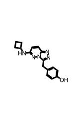 Oc1ccc(Cc2nnc3ccc(NC4CCC4)nn23)cc1